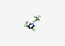 FN1C=C(Cl)C=C(Cl)C1.F[B-](F)(F)F.[H+]